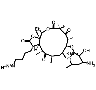 CC[C@H]1OC(=O)[C@@](C)(F)C(=O)[C@H](C)[C@@H](O[C@@H]2OC(C)CC(N)C2O)[C@](C)(OC)C[C@@H](C)C(=O)[C@H](C)[C@H]2N(CCCCN=[N+]=[N-])C(=O)O[C@]12C